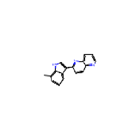 Cc1cccc2c(-c3ccc4ncccc4n3)c[nH]c12